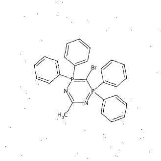 CC1=NP(c2ccccc2)(c2ccccc2)=C(Br)P(c2ccccc2)(c2ccccc2)=N1